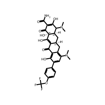 CN(C)c1cc(-c2ccc(OC(F)(F)F)cc2)c(O)c2c1C[C@@H]1C[C@@H]3C(N(C)C)C(O)=C(C(N)=O)C(=O)[C@]3(O)C(O)=C1C2=O